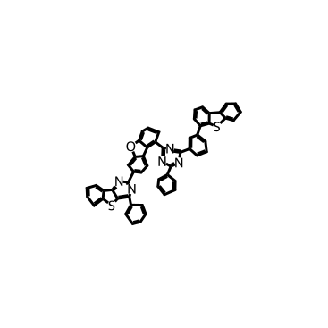 c1ccc(-c2nc(-c3cccc(-c4cccc5c4sc4ccccc45)c3)nc(-c3cccc4oc5cc(-c6nc(-c7ccccc7)c7sc8ccccc8c7n6)ccc5c34)n2)cc1